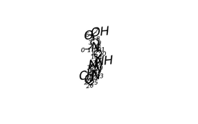 CCC1CC(C(=O)O)CCN1c1ccc(Nc2ncc(Cl)c(N(C)[C@@H]3CCCO3)n2)cc1